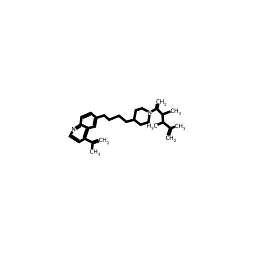 C=C(C)c1ccnc2ccc(CCCCC3CCN(C(=C)C(C)C(C)C(=C)C)CC3)cc12